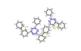 c1ccc(-c2nc(-c3cccc4c3sc3ccccc34)nc(-c3cccc4sc5cc(-c6nc(-c7ccccc7)nc7c6sc6ccccc67)ccc5c34)n2)cc1